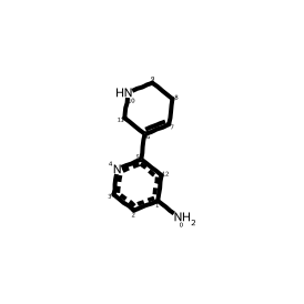 Nc1ccnc(C2=CCCNC2)c1